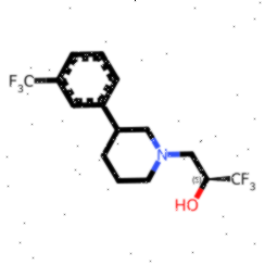 O[C@@H](CN1CCCC(c2cccc(C(F)(F)F)c2)C1)C(F)(F)F